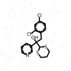 OC(Cc1ccc(Cl)cc1Cl)(c1cccnc1)C1SCCCS1